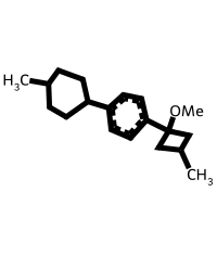 COC1(c2ccc(C3CCC(C)CC3)cc2)CC(C)C1